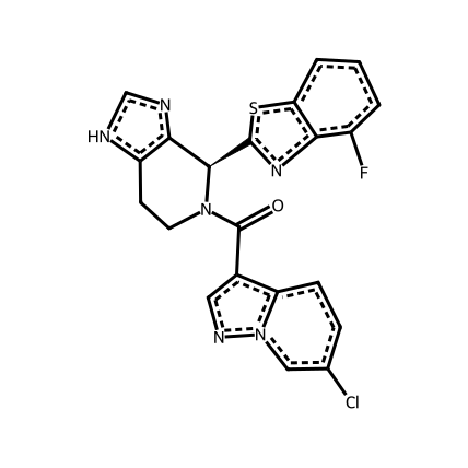 O=C(c1cnn2cc(Cl)ccc12)N1CCc2[nH]cnc2[C@H]1c1nc2c(F)cccc2s1